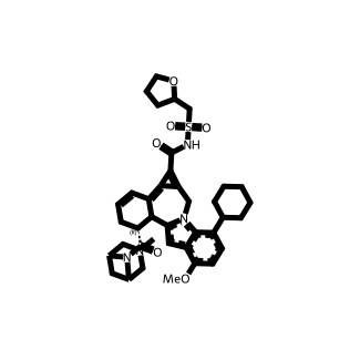 COc1ccc(C2CCCCC2)c2c1cc1n2CC2=C(C(=O)NS(=O)(=O)CC3CCCO3)C2=C2C=CC[C@@H](C(=O)N3C4CC3CN(C)C4)C21